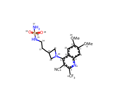 COc1cc2nc(C(F)(F)F)c(C#N)c(N3CC(CCNS(N)(=O)=O)C3)c2cc1OC